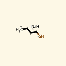 CCCCS.[NaH]